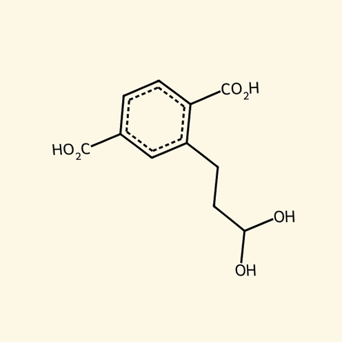 O=C(O)c1ccc(C(=O)O)c(CCC(O)O)c1